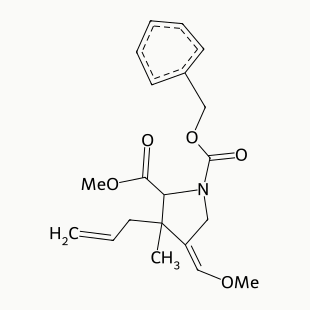 C=CCC1(C)C(=COC)CN(C(=O)OCc2ccccc2)C1C(=O)OC